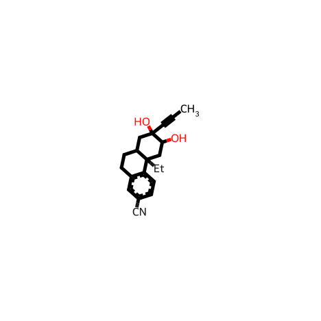 CC#CC1(O)CC2CCc3cc(C#N)ccc3C2(CC)CC1O